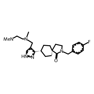 CNCCN(C)Cc1c[nH]nc1[C@H]1CC[C@@]2(CCN(Cc3ccc(F)cc3)C2=O)CC1